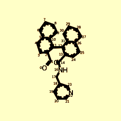 O=Cc1ccc2ccccc2c1-c1c(C(=O)NCc2cccnc2)ccc2ccccc12